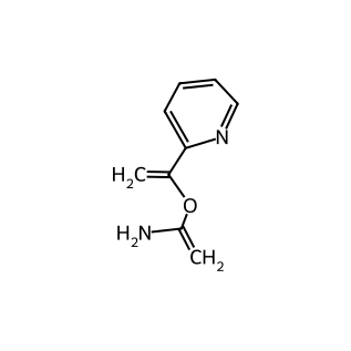 C=C(N)OC(=C)c1ccccn1